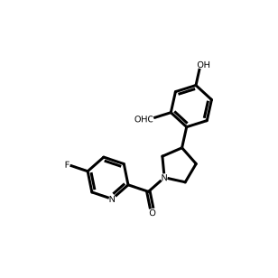 O=Cc1cc(O)ccc1C1CCN(C(=O)c2ccc(F)cn2)C1